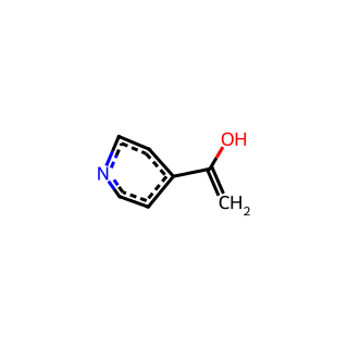 C=C(O)c1ccncc1